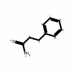 O=C(P)CCc1ccccc1